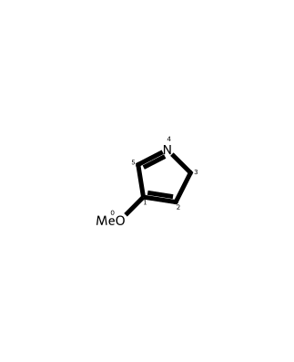 COC1=CCN=C1